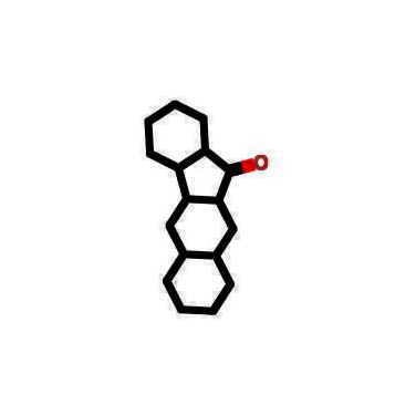 O=C1C2CCCCC2C2CC3CCCCC3CC12